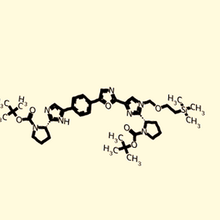 CC(C)(C)OC(=O)N1CCC[C@H]1c1ncc(-c2ccc(-c3cnc(-c4cn(COCC[Si](C)(C)C)c([C@@H]5CCCN5C(=O)OC(C)(C)C)n4)o3)cc2)[nH]1